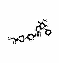 CC(=O)c1c(C)c2cnc(Nc3ccc(N4CCN(C(=O)CCl)CC4)cn3)nc2n(C2CCCC2)c1=O